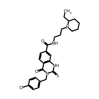 CCC1CCCCN1CCCNC(=O)c1ccc2c(=O)n(Cc3ccc(Cl)cc3)c(=S)[nH]c2c1